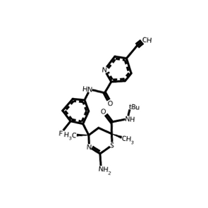 C#Cc1ccc(C(=O)Nc2ccc(F)c([C@]3(C)C[C@](C)(C(=O)NC(C)(C)C)SC(N)=N3)c2)nc1